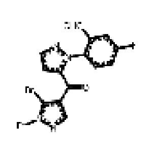 CCn1ncc(C(=O)c2ccnn2-c2ccc(F)cc2C=O)c1Br